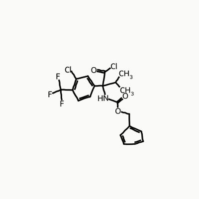 CC(C)C(NC(=O)OCc1ccccc1)(C(=O)Cl)c1ccc(C(F)(F)F)c(Cl)c1